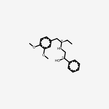 CC[C@H](Cc1ccc(OC)c(OC)c1)NC[C@H](O)c1ccccc1